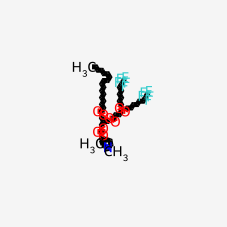 CCCCC/C=C\C/C=C\CCCCCCCC(=O)OCC(COC(=O)CCC(OCCCCCCC(F)(F)C(F)(F)F)OCCCCCCC(F)(F)C(F)(F)F)COC(=O)OCC1(C)CCCN(C)C1